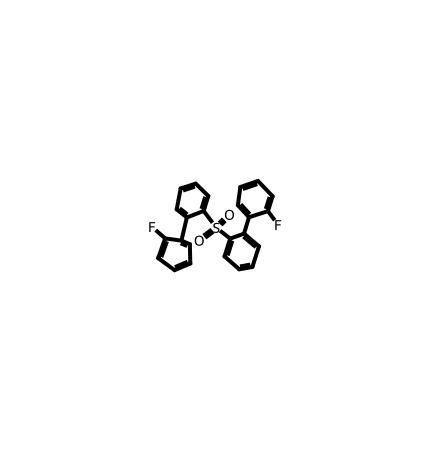 O=S(=O)(c1ccccc1-c1ccccc1F)c1ccccc1-c1ccccc1F